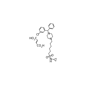 O=C(O)C=CC(=O)O.O=S(=O)(CCCCCCN1CCN(C(c2ccccc2)c2cccc(Cl)c2)CC1)NC1CC1